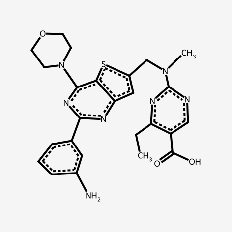 CCc1nc(N(C)Cc2cc3nc(-c4cccc(N)c4)nc(N4CCOCC4)c3s2)ncc1C(=O)O